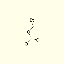 CCCOI(O)O